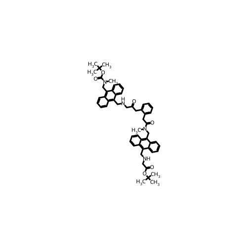 CN(Cc1c2ccccc2c(CNCC(=O)OC(C)(C)C)c2ccccc12)C(=O)Cc1ccccc1CC(=O)CNCc1c2ccccc2c(CN(C)C(=O)OC(C)(C)C)c2ccccc12